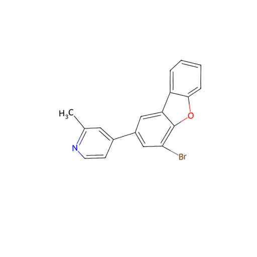 Cc1cc(-c2cc(Br)c3oc4ccccc4c3c2)ccn1